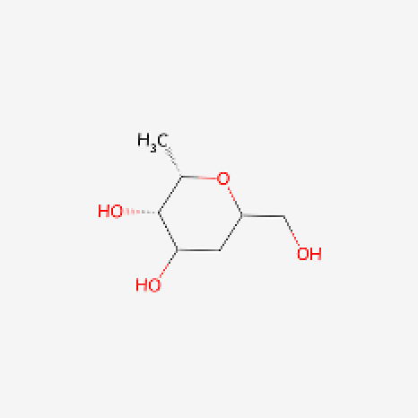 C[C@@H]1OC(CO)CC(O)[C@@H]1O